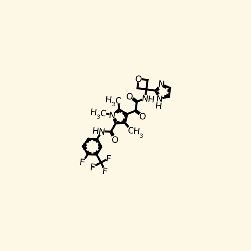 Cc1c(C(=O)C(=O)NC2(c3ncc[nH]3)COC2)c(C)n(C)c1C(=O)Nc1ccc(F)c(C(F)(F)F)c1